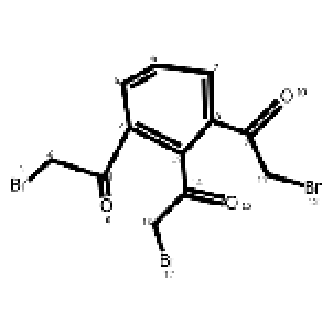 O=C(CBr)c1cccc(C(=O)CBr)c1C(=O)CBr